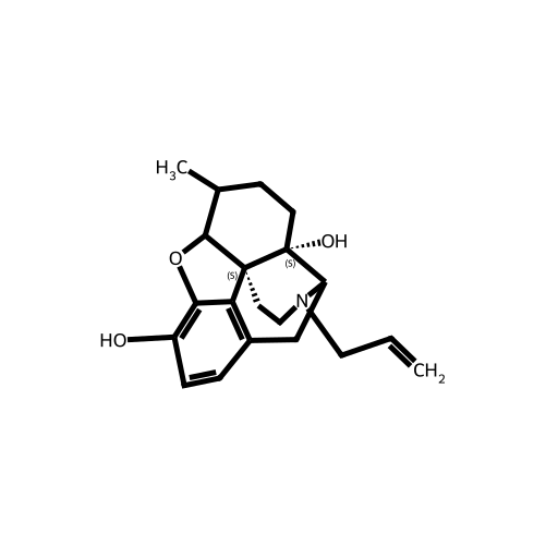 C=CCN1CC[C@]23c4c5ccc(O)c4OC2C(C)CC[C@@]3(O)C1C5